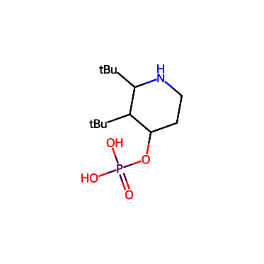 CC(C)(C)C1NCCC(OP(=O)(O)O)C1C(C)(C)C